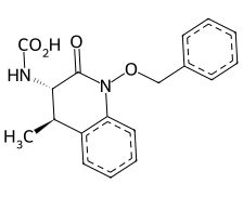 C[C@@H]1c2ccccc2N(OCc2ccccc2)C(=O)[C@H]1NC(=O)O